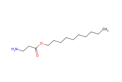 CCCCCCCCCCOC(=O)CCN